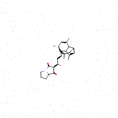 CC1=C[C@@]2(C)[C@@H](C)/C(C)=C\[C@]3(C)C=C(C)[C@H]2[C@H]1[C@H]3/C=C/C(O)=C1/C(=O)[C@@H]2CCCN2C1=O